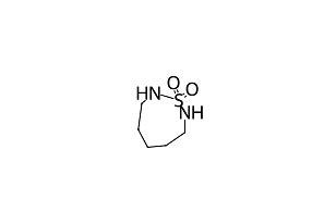 O=S1(=O)NCCCCCN1